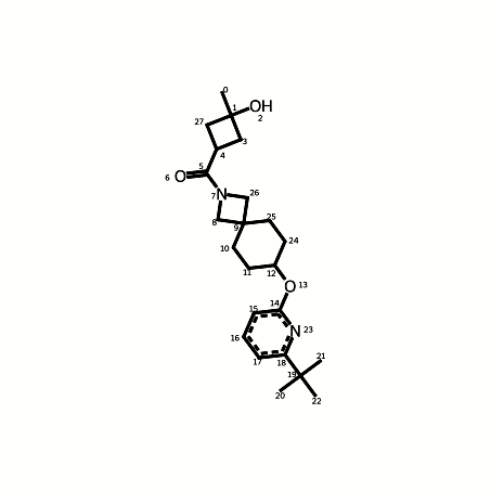 CC1(O)CC(C(=O)N2CC3(CCC(Oc4cccc(C(C)(C)C)n4)CC3)C2)C1